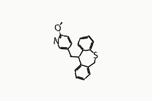 COc1ccc(CC2c3ccccc3CSc3ccccc32)cn1